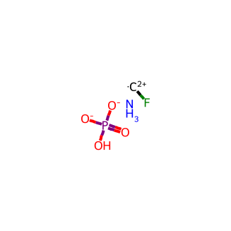 N.O=P([O-])([O-])O.[C+2]F